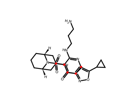 NCCCNc1ncccc1S(=O)(=O)N1[C@@H]2CCC[C@H]1CC(NC(=O)c1cc(C3CC3)on1)C2